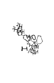 [2H]C([2H])([2H])Oc1ccc([C@H](C2(O)CCCCC2)C([2H])([2H])N(C)C([2H])([2H])[2H])cc1